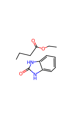 CCCC(=O)OCC.O=c1[nH]c2ccccc2[nH]1